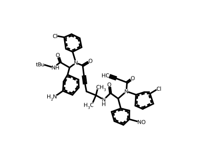 C#CC(=O)N(c1cccc(Cl)c1)C(C(=O)NC(C)(C)CC#CC(=O)N(c1cccc(Cl)c1)C(C(=O)NC(C)(C)C)c1cccc(N)c1)c1cccc(N=O)c1